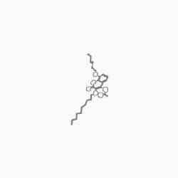 CCC=CCCOc1cccc2c(OC(C)=O)c(OCCCCCCCCCC)c(=O)oc12